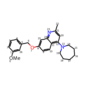 COc1cccc(COc2ccc3c(N4CCCCCC4)cc(C)nc3c2)c1